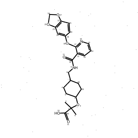 CC(C)(OC1CCC(CNC(=O)c2cccnc2Oc2ccc3c(c2)OCO3)CC1)C(=O)O